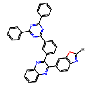 CCc1nc2ccc(-c3nc4ccccc4nc3-c3cccc(-c4nc(-c5ccccc5)nc(-c5ccccc5)n4)c3)cc2o1